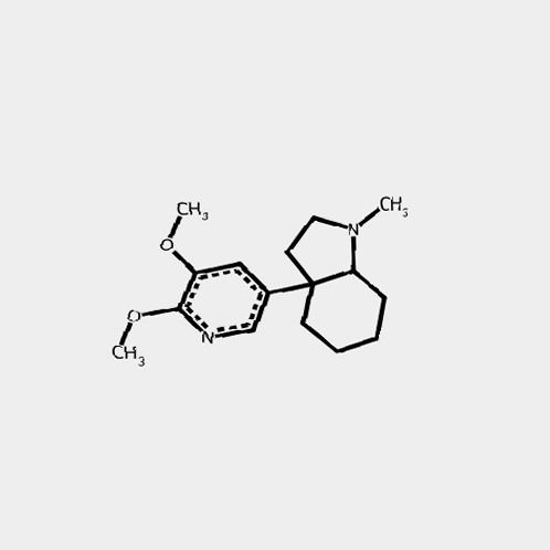 COc1cc(C23CCCCC2N(C)CC3)cnc1OC